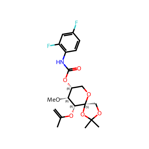 C=C(C)O[C@@H]1[C@H](OC)[C@H](OC(=O)Nc2ccc(F)cc2F)CO[C@]12COC(C)(C)O2